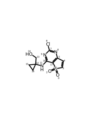 O=S1(=O)C=Cc2nc(Cl)nc(NC3(CO)CC3)c21